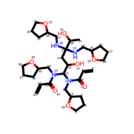 C=CC(=O)N(CC1CCCO1)C(C(O)CC(NCC1CCCO1)(NCC1CCCO1)C(C)O)N(CC1CCCO1)C(=O)C=C